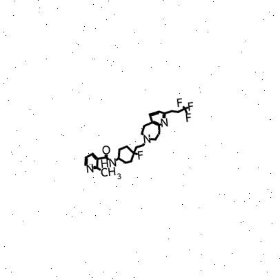 Cc1ncccc1C(=O)NC1CCC(F)(CCN2CCc3ccc(CCC(F)(F)F)nc3CC2)CC1